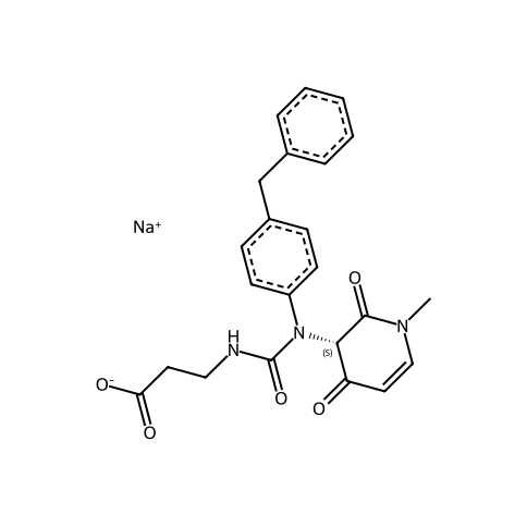 CN1C=CC(=O)[C@H](N(C(=O)NCCC(=O)[O-])c2ccc(Cc3ccccc3)cc2)C1=O.[Na+]